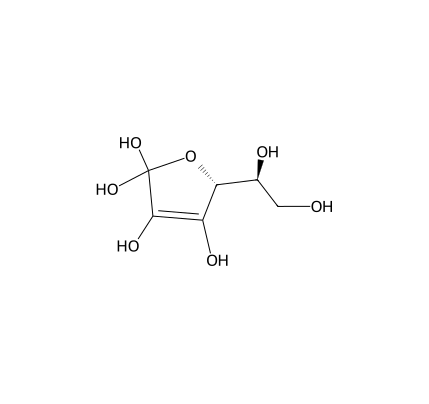 OC[C@H](O)[C@H]1OC(O)(O)C(O)=C1O